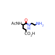 CC(=O)NC(CCC(=O)O)C(=O)NCCN